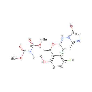 CC(Oc1ccc2ncc(Br)n2n1)c1c(OCCN(C(=O)OC(C)(C)C)C(=O)OC(C)(C)C)ccc(F)c1Cl